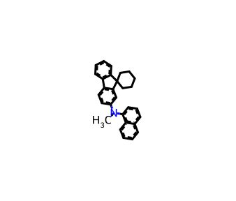 CN(c1ccc2c(c1)C1(CCCCC1)c1ccccc1-2)c1cccc2ccccc12